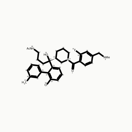 CNCc1ccc(C(=O)N2CCC[C@@H](C(O)(CCCNC(C)=O)c3cccc(Cl)c3-c3cccc(C)c3)C2)c(F)c1